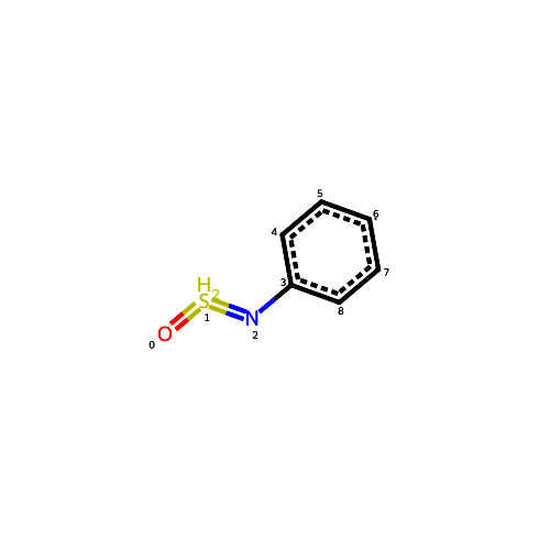 O=[SH2]=Nc1cc[c]cc1